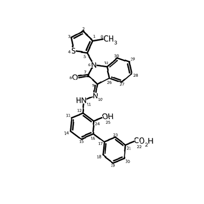 Cc1ccsc1N1C(=O)C(=NNc2cccc(-c3cccc(C(=O)O)c3)c2O)c2ccccc21